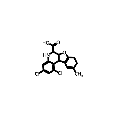 CC1=CC2=C(CC1)OC1C(C(=O)O)Nc3cc(Cl)cc(Cl)c3C21